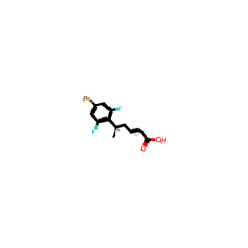 C[C@H](C/C=C/C(=O)O)c1c(F)cc(Br)cc1F